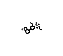 CCCS(=O)(=O)Nc1ccc(-c2ccnc3[nH]ccc23)cc1CC